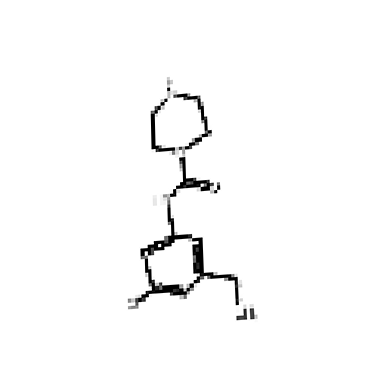 CCc1cc(Cl)cc(NC(=O)N2CCNCC2)c1